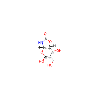 O=C1N[C@H]2O[C@H](O)[C@@H](CO)[C@H](O)[C@H]2O1